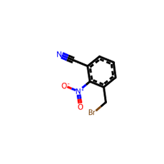 N#Cc1cccc(CBr)c1[N+](=O)[O-]